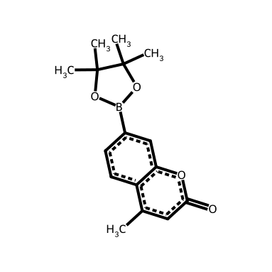 Cc1cc(=O)oc2cc(B3OC(C)(C)C(C)(C)O3)ccc12